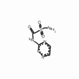 NS(=O)(=O)C(=O)Nc1nccnn1